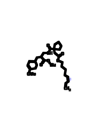 C=C/C=C\CCCCOC(=O)CC1(C(=O)NCC(CC2=CC=C(OC)CC2)C(=O)OC(C)(C)C)CCCC1